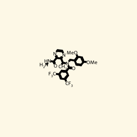 COc1ccc(CN(C(=O)c2cc(C(F)(F)F)cc(C(F)(F)F)c2)C(C)c2nccnc2C(=O)NN)c(OC)c1